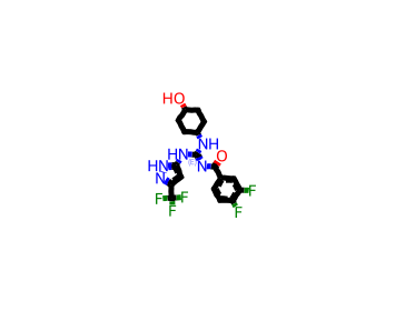 O=C(/N=C(/Nc1cc(C(F)(F)F)n[nH]1)NC1CCC(O)CC1)c1ccc(F)c(F)c1